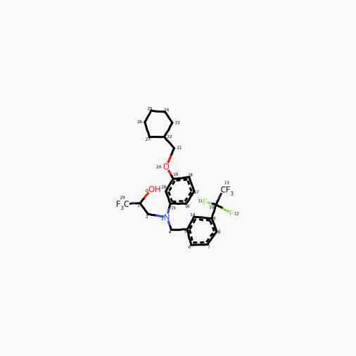 OC(CN(Cc1cccc(C(F)(F)C(F)(F)F)c1)c1cccc(OCC2CCCCC2)c1)C(F)(F)F